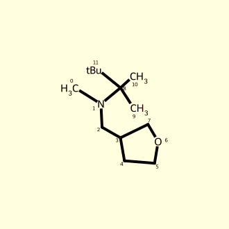 CN(CC1CCOC1)C(C)(C)C(C)(C)C